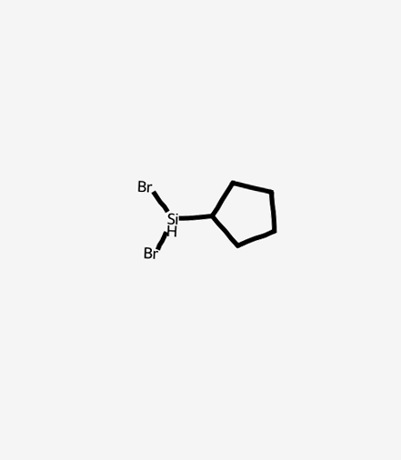 Br[SiH](Br)C1CCCC1